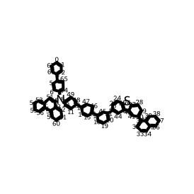 c1ccc(-c2ccc(N(c3ccc(-c4ccc(-c5cccc(-c6ccc7sc8ccc(-c9cccc%10ccccc9%10)cc8c7c6)c5)cc4)cc3)c3cc4ccccc4c4ccccc34)cc2)cc1